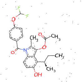 CC[C@@H](C)c1c(O)ccc2c1c(OC(C)=O)c(C)n2C(=O)c1ccc(OC(F)F)cc1